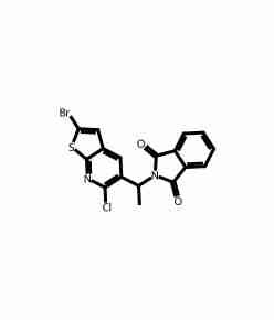 CC(c1cc2cc(Br)sc2nc1Cl)N1C(=O)c2ccccc2C1=O